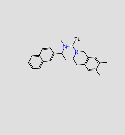 CCC(N1CCc2cc(C)c(C)cc2C1)N(C)C(C)c1ccc2ccccc2c1